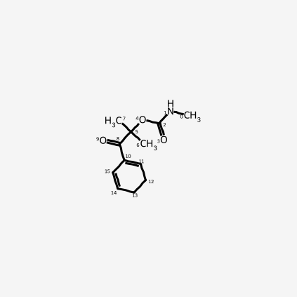 CNC(=O)OC(C)(C)C(=O)C1=CCCC=C1